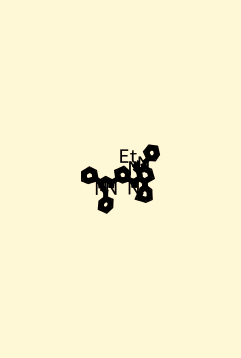 CCc1nc2c3c(-c4cccc(-c5cc(-c6ccccc6)nc(-c6ccccc6)n5)c4)nc4ccccc4c3ccc2n1-c1ccccc1